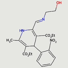 CCOC(=O)C1=C(C)NC(C=NCCO)=C(C(=O)OCC)C1c1ccccc1[N+](=O)[O-]